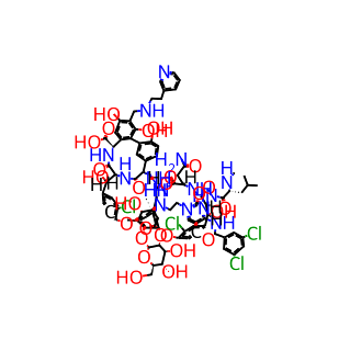 CN[C@H](CC(C)C)C(=O)N[C@H]1C(=O)N[C@@H](CC(N)=O)C(=O)NC2C(=O)N[C@H]3C(=O)N[C@H](C(=O)N[C@@H](C(=O)O)c4cc(O)c(CNCCc5cccnc5)c(O)c4-c4cc3ccc4O)[C@H](O)c3ccc(c(Cl)c3)Oc3cc2cc(c3O[C@@H]2O[C@H](CO)[C@@H](O)[C@H](O)[C@H]2O[C@H]2C[C@](C)(NCCn3ccc(NC(=O)c4cc(Cl)cc(Cl)c4)nc3=O)[C@H](O)[C@H](C)O2)Oc2ccc(cc2Cl)[C@H]1O